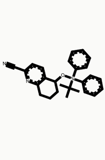 CC(C)(C)[Si](OC1CCCc2nc(C#N)ccc21)(c1ccccc1)c1ccccc1